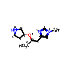 CCCn1cnc(C[C@H](O[C@@H]2CCNC2)C(=O)O)c1